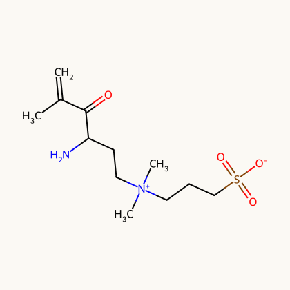 C=C(C)C(=O)C(N)CC[N+](C)(C)CCCS(=O)(=O)[O-]